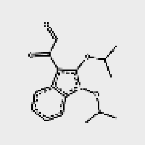 CC(C)Oc1c(C(=O)C=O)c2ccccc2n1OC(C)C